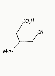 COC(CC#N)CC(=O)O